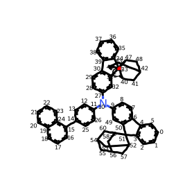 c1ccc2c(c1)-c1ccc(N(c3ccc(-c4cccc5ccccc45)cc3)c3ccc4c(c3)C3(c5ccccc5-4)C4CC5CC(C4)CC3C5)cc1C21C2CC3CC(C2)CC1C3